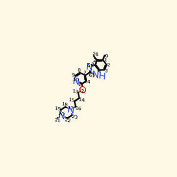 Cc1ccc2[nH]c(-c3ccnc(OCCCCN4CCN(C)CC4)c3)nc2c1C